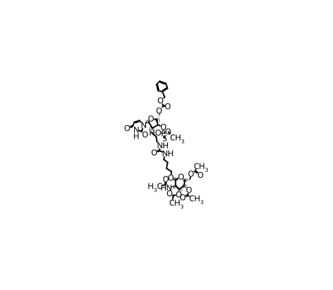 COP(O)(=S)OC1[C@@H](COC(=O)OCc2ccccc2)O[C@@H](n2ccc(=O)[nH]c2=O)[C@H]1CCCNC(=O)NCCCCO[C@@H]1O[C@H](COC(C)=O)[C@H](OC(C)=O)[C@H](OC(C)=O)[C@H]1NC(C)=O